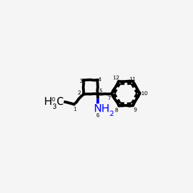 CCC1CCC1(N)c1ccccc1